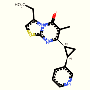 Cc1c([C@@H]2C[C@H]2c2cccnc2)nc2scc(CC(=O)O)n2c1=O